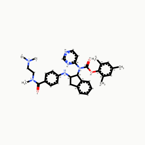 CCN(CC)CCN(C)C(=O)c1ccc(NC2Cc3ccccc3C2N(C(=O)Oc2c(C)cc(C)cc2C)c2ccncn2)cc1